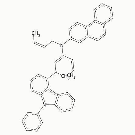 C/C=C\CN(C(/C=C\C)=C/C(C)c1cccc2c1c1ccccc1n2-c1ccccc1)c1ccc2c(ccc3ccccc32)c1